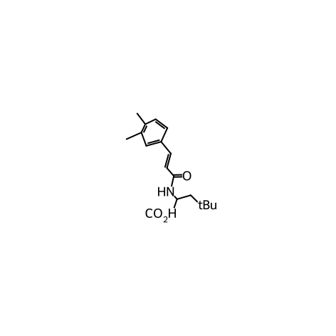 Cc1ccc(C=CC(=O)NC(CC(C)(C)C)C(=O)O)cc1C